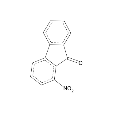 O=C1c2ccccc2-c2cccc([N+](=O)[O-])c21